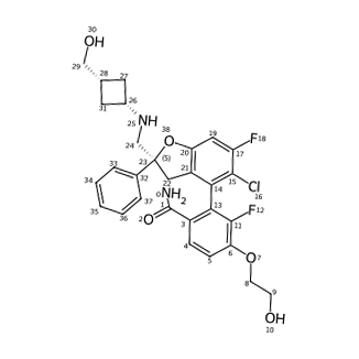 NC(=O)c1ccc(OCCO)c(F)c1-c1c(Cl)c(F)cc2c1C[C@@](CN[C@H]1C[C@@H](CO)C1)(c1ccccc1)O2